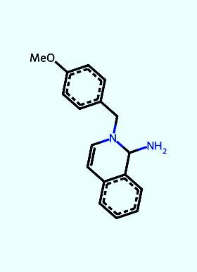 COc1ccc(CN2C=Cc3ccccc3C2N)cc1